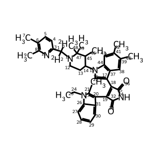 [2H]C([2H])(c1ccc(C)c(C)n1)N1CCC(n2cc(C3=C(c4c(C)n(CC)c5ccccc45)C(=O)NC3=O)c3cc(C)c(C)cc32)C(C)C1(C)C